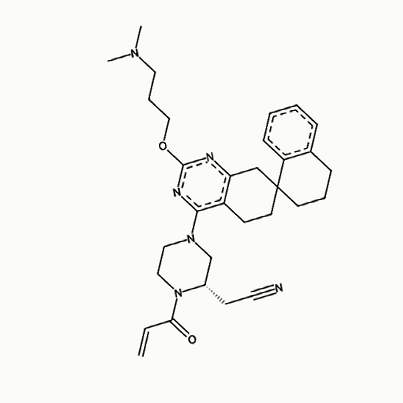 C=CC(=O)N1CCN(c2nc(OCCCN(C)C)nc3c2CCC2(CCCc4ccccc42)C3)C[C@@H]1CC#N